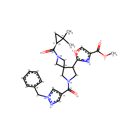 COC(=O)c1coc(C2CN(C(=O)c3cnn(Cc4ccccc4)c3)CC23CN(C(=O)[C@H]2CC2(C)C)C3)n1